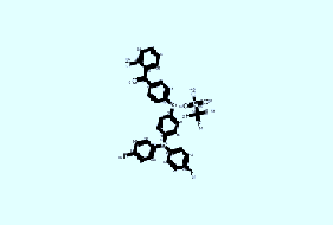 O=C(c1ccc(Sc2ccc([S+](c3ccc(F)cc3)c3ccc(F)cc3)cc2)cc1)c1ccccc1Cl.O=S(=O)([O-])C(F)(F)F